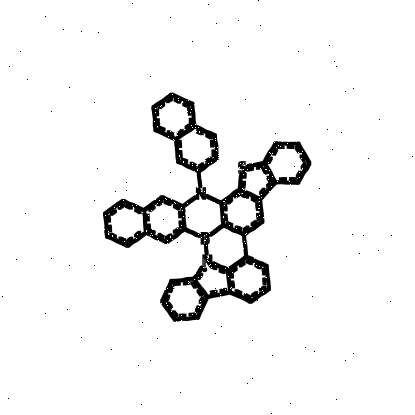 c1ccc2cc(N3c4cc5ccccc5cc4B4c5c(cc6c(sc7ccccc76)c53)-c3cccc5c6ccccc6n4c35)ccc2c1